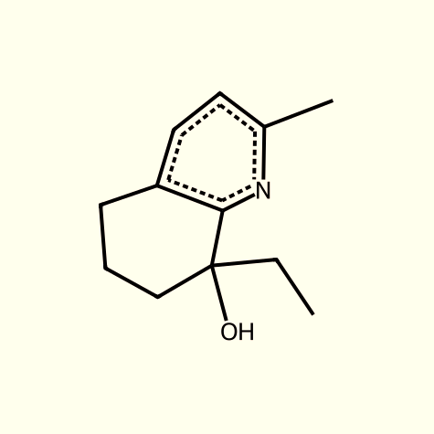 CCC1(O)CCCc2ccc(C)nc21